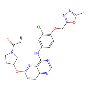 C=CC(=O)N1CCC(Oc2ccc3ncnc(Nc4ccc(OCc5nnc(C)o5)c(Cl)c4)c3n2)C1